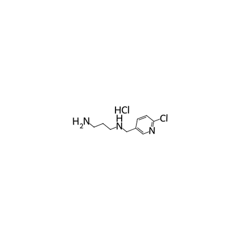 Cl.NCCCNCc1ccc(Cl)nc1